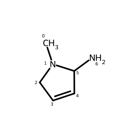 CN1CC=CC1N